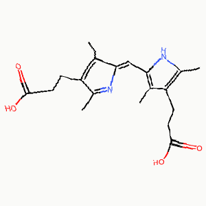 CC1=N/C(=C\c2[nH]c(C)c(CCC(=O)O)c2C)C(C)=C1CCC(=O)O